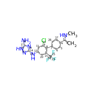 C=C(NC)c1ccc(-c2c(Cl)cc(Nc3n[nH]c(N)n3)cc2C(F)(F)F)cc1